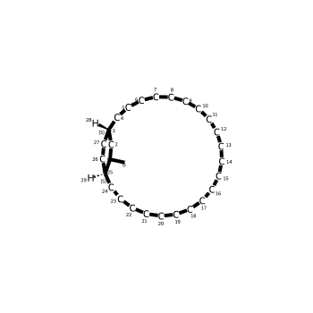 C[C]1C[C@H]2CCCCCCCCCCCCCCCCCCCCC[C@H]1CC2